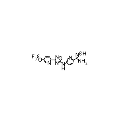 N/C(=N\O)c1ccc(Nc2nc(-c3ccc(OC(F)(F)F)cn3)no2)cn1